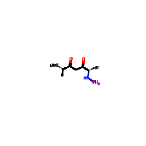 CN[C@@H](C)C(=O)CC(=O)[C@@H](NP)C(C)C